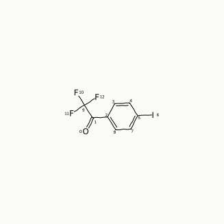 O=C(c1ccc(I)cc1)C(F)(F)F